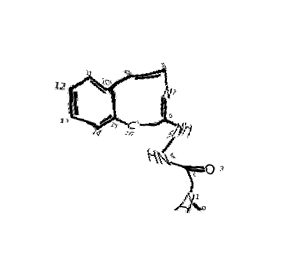 CNC(=O)NNC1=NC=Cc2ccccc2C1